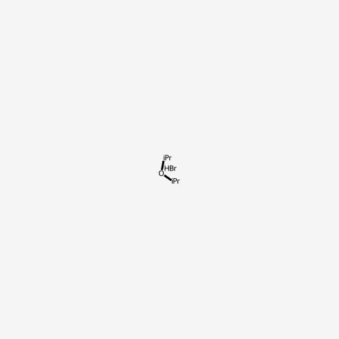 Br.CC(C)OC(C)C